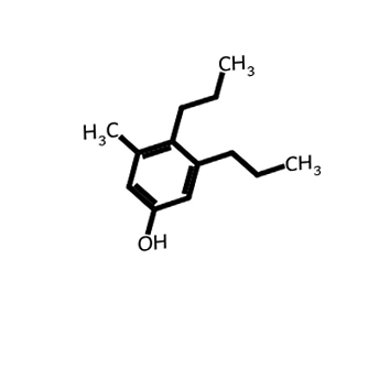 CCCc1cc(O)cc(C)c1CCC